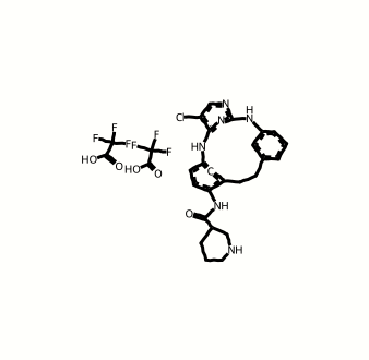 O=C(Nc1ccc2cc1CCc1cccc(c1)Nc1ncc(Cl)c(n1)N2)C1CCCNC1.O=C(O)C(F)(F)F.O=C(O)C(F)(F)F